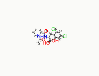 C=CC(=O)N1CCCC[C@@H]1C(=O)N[C@@H](Cc1ccc(Cl)cc1Cl)B(O)O